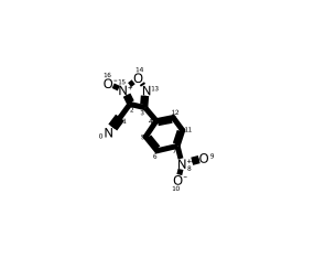 N#Cc1c(-c2ccc([N+](=O)[O-])cc2)no[n+]1[O-]